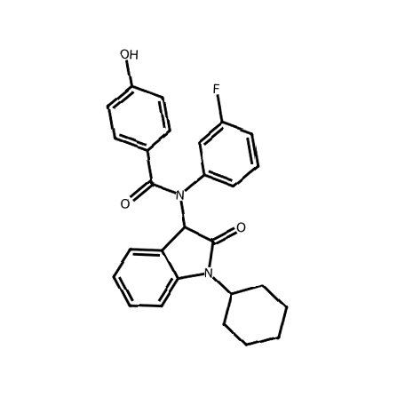 O=C1C(N(C(=O)c2ccc(O)cc2)c2cccc(F)c2)c2ccccc2N1C1CCCCC1